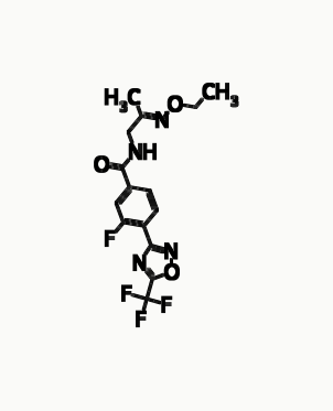 CCON=C(C)CNC(=O)c1ccc(-c2noc(C(F)(F)F)n2)c(F)c1